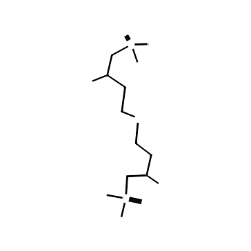 CCCP(=S)(S)CC(C)CCSCCC(C)CP(=S)(S)CCC